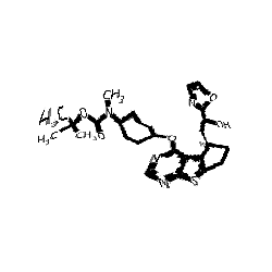 CN(C(=O)OC(C)(C)C)C1CCC(Oc2ncnc3sc4c(c23)[C@@H](CC(O)c2ncco2)CC4)CC1